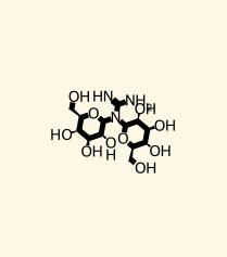 N=C(N)N(C1O[C@H](CO)[C@@H](O)[C@H](O)[C@H]1O)C1O[C@H](CO)[C@@H](O)[C@H](O)[C@H]1O